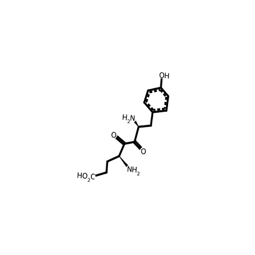 N[C@@H](CCC(=O)O)C(=O)C(=O)[C@@H](N)Cc1ccc(O)cc1